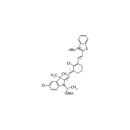 CCCC[n+]1c(/C=C/C2=C(Cl)C(=C/C=C3/N(C(C)OC)c4ccc(Cl)cc4C3(C)C)/CCC2)sc2ccccc21